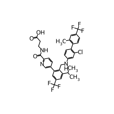 Cc1cc(C(F)(F)F)ccc1-c1ccc(NCc2c(-c3ccc(C(=O)NCCC(=O)O)nc3)cc(C(F)(F)F)cc2C(C)C)cc1Cl